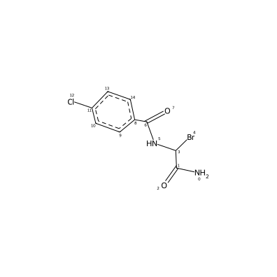 NC(=O)C(Br)NC(=O)c1ccc(Cl)cc1